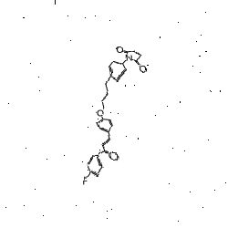 O=C(C=Cc1ccc(OCCCCc2ccc(N3C(=O)C=CC3=O)cc2)cc1)c1ccc(F)cc1